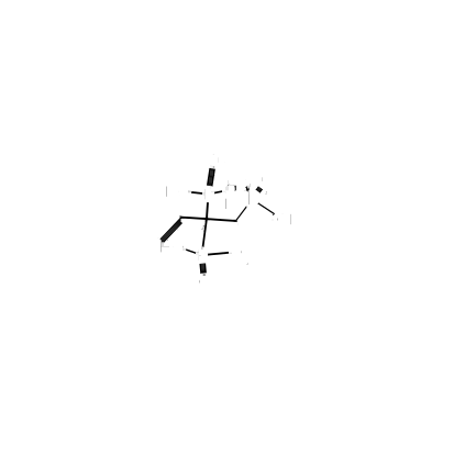 C=CC(CP(=O)(O)O)(P(=O)(O)O)P(=O)(O)O